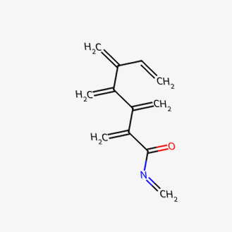 C=CC(=C)C(=C)C(=C)C(=C)C(=O)N=C